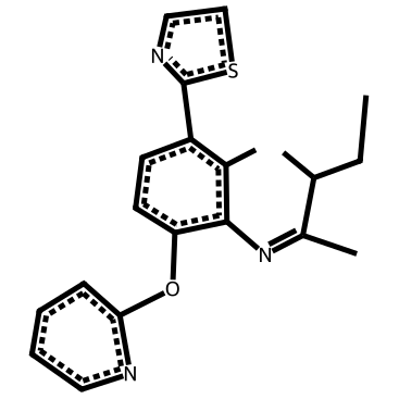 CCC(C)/C(C)=N\c1c(Oc2ccccn2)ccc(-c2nccs2)c1C